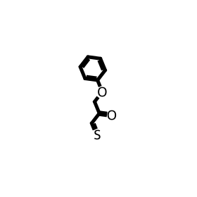 O=C(C=S)COc1ccccc1